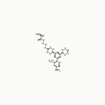 Nc1cc(C(F)(F)F)c(-c2nc(N3CCOCC3)nc(N3CCN(CCCCC(=O)NO)CC3)n2)cn1